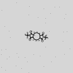 CC(C)(C)N1C(=O)C2CCCC3C(=O)N(C(C)(C)C)C(=O)C3CCCC2C1=O